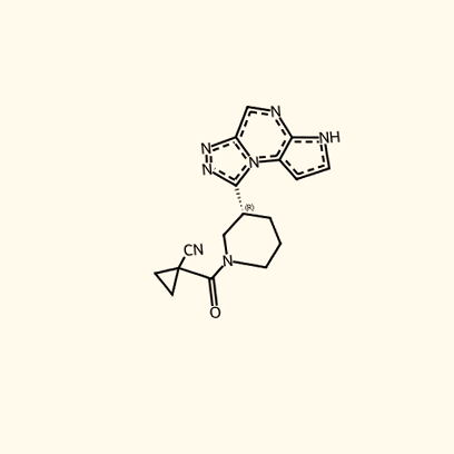 N#CC1(C(=O)N2CCC[C@@H](c3nnc4cnc5[nH]ccc5n34)C2)CC1